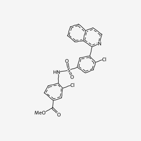 COC(=O)c1ccc(NS(=O)(=O)c2ccc(Cl)c(-c3nccc4ccccc34)c2)c(Cl)c1